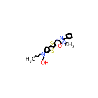 CCCCN(CCO)c1ccc2c(c1)sc1cc(/C=C3/N=C(c4ccccc4)N(C)C3=O)sc12